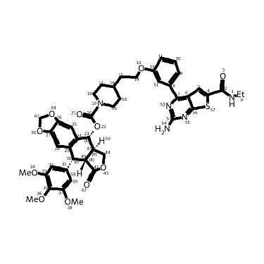 CCNC(=O)c1cc2c(-c3cccc(OCCC4CCN(C(=O)O[C@H]5c6cc7c(cc6[C@@H](c6cc(OC)c(OC)c(OC)c6)[C@H]6C(=O)OC[C@@H]65)OCO7)CC4)c3)nc(N)nc2s1